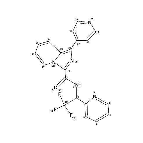 O=C(NC(c1ccccn1)C(F)(F)F)c1nc(-c2ccncc2)c2ccccn12